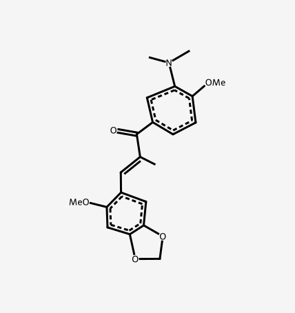 COc1cc2c(cc1/C=C(\C)C(=O)c1ccc(OC)c(N(C)C)c1)OCO2